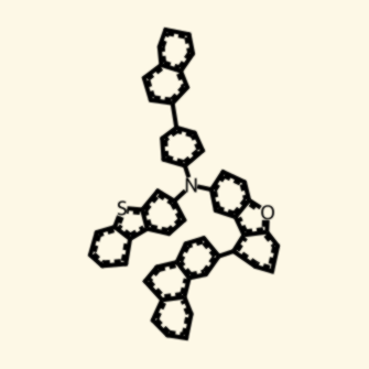 c1ccc2cc(-c3ccc(N(c4ccc5c(c4)sc4ccccc45)c4ccc5oc6cccc(-c7ccc8ccc9ccccc9c8c7)c6c5c4)cc3)ccc2c1